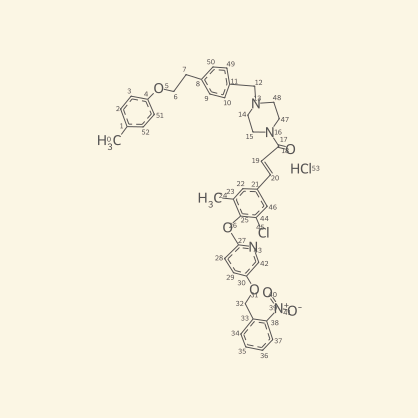 Cc1ccc(OCCc2ccc(CN3CCN(C(=O)C=Cc4cc(C)c(Oc5ccc(OCc6ccccc6[N+](=O)[O-])cn5)c(Cl)c4)CC3)cc2)cc1.Cl